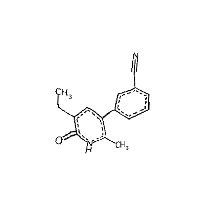 CCc1cc(-c2cccc(C#N)c2)c(C)[nH]c1=O